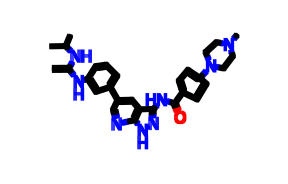 C=C(Nc1cccc(-c2cnc3[nH]nc(NC(=O)c4ccc(N5CCN(C)CC5)cc4)c3c2)c1)NC(C)C